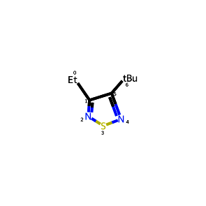 CCc1nsnc1C(C)(C)C